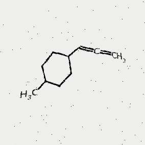 C=C=CC1CCC(C)CC1